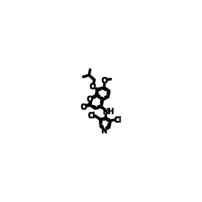 COc1ccc2c(Nc3c(Cl)cncc3Cl)cc(=O)oc2c1OCC(C)C